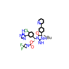 CC(C)(C)C[C@]1(c2ccc(-c3ccccn3)cc2)NC(=N)N([C@H](COC(=O)N2CC(F)(F)C2)c2ccc(Cl)c(-c3ncn[nH]3)c2)C1=O